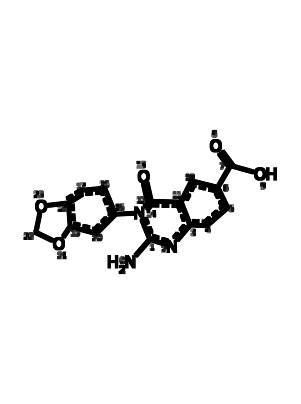 Nc1nc2ccc(C(=O)O)cc2c(=O)n1-c1ccc2c(c1)OCO2